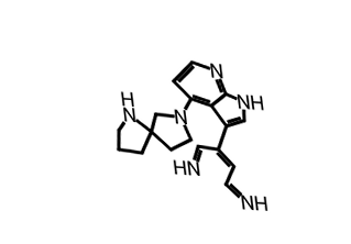 N=C/C=C(\C=N)c1c[nH]c2nccc(N3CCC4(CCCN4)C3)c12